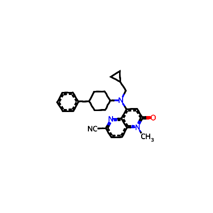 Cn1c(=O)cc(N(CC2CC2)C2CCC(c3ccccc3)CC2)c2nc(C#N)ccc21